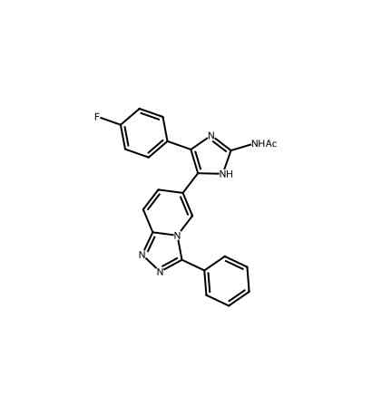 CC(=O)Nc1nc(-c2ccc(F)cc2)c(-c2ccc3nnc(-c4ccccc4)n3c2)[nH]1